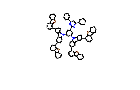 c1ccc(-c2cc(-c3ccccc3)nc(-c3cc(-n4c5ccc(-c6cccc7c6sc6ccccc67)cc5c5cc(-c6cccc7c6sc6ccccc67)ccc54)cc(-n4c5ccc(-c6cccc7c6sc6ccccc67)cc5c5cc(-c6cccc7c6sc6ccccc67)ccc54)c3)n2)cc1